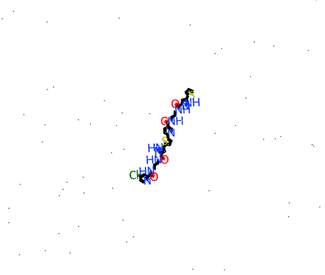 O=C(NCCCNC(=O)c1cc(-c2cccs2)[nH]n1)c1ccc(-c2ccc(-c3cc(C(=O)NCCCNC(=O)c4cc(Cl)ccn4)n[nH]3)s2)nc1